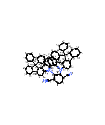 N#Cc1ccc(C#N)c(-n2c3ccccc3c3c4c(ccc32)-c2ccccc2C4(c2ccccc2)c2ccccc2)c1-n1c2ccccc2c2c3c(ccc21)-c1ccccc1C3(c1ccccc1)c1ccccc1